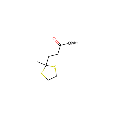 COC(=O)CCC1(C)SCCS1